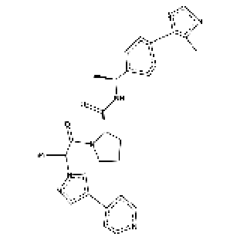 Cc1ncsc1-c1ccc([C@H](C)NC(=O)[C@@H]2CCCN2C(=O)C(C(C)C)n2cc(-c3ccncc3)cn2)cc1